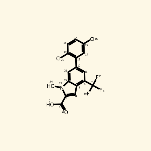 O=C(O)c1cc2c(C(F)(F)F)cc(-c3cc(Cl)ccc3Cl)cc2n1O